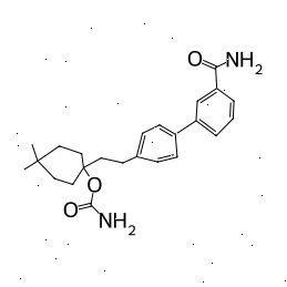 CC1(C)CCC(CCc2ccc(-c3cccc(C(N)=O)c3)cc2)(OC(N)=O)CC1